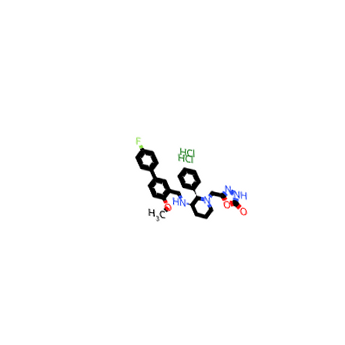 COc1ccc(-c2ccc(F)cc2)cc1CN[C@H]1CCCN(Cc2n[nH]c(=O)o2)[C@H]1c1ccccc1.Cl.Cl